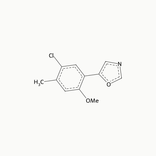 COc1cc(C)c(Cl)cc1-c1cnco1